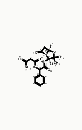 CC1(C)S[C@@H]2CC(=O)N2[C@@]1(NC(=O)C(NC(=O)CC(=N)N)c1ccccc1)C(=O)O